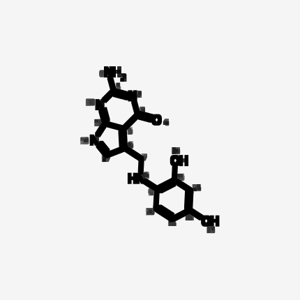 NC1=NC(=O)C2=C(CNc3ccc(O)cc3O)C=NC2=N1